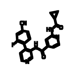 N#Cc1ccc(-c2ccncc2NC(=O)c2ccnc(NC(=O)C3CC3)c2)c(F)c1